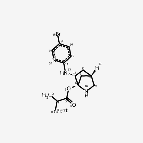 CCCCCC(C)C(=O)O[C@]12C[C@@H](CN1)C[C@H]2Nc1ccc(Br)cn1